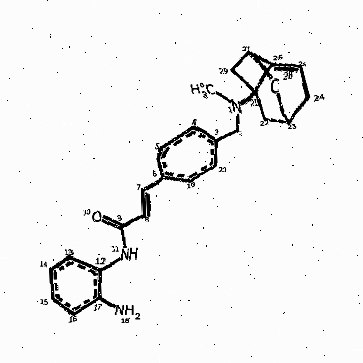 CN(Cc1ccc(/C=C/C(=O)Nc2ccccc2N)cc1)C12CC3CC=C1C(C3)C2